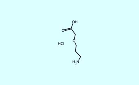 Cl.NCCCOCC(=O)O